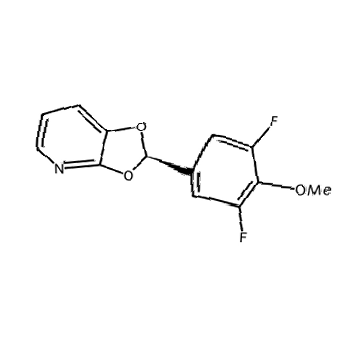 COc1c(F)cc([C@@H]2Oc3cccnc3O2)cc1F